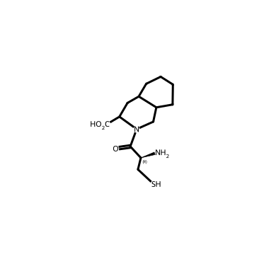 N[C@@H](CS)C(=O)N1CC2CCCCC2CC1C(=O)O